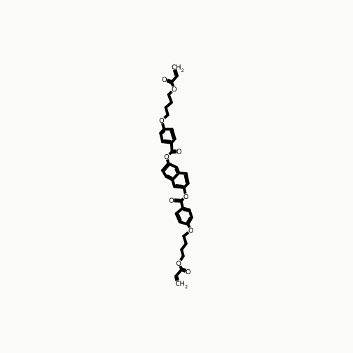 C=CC(=O)OCCCCOc1ccc(C(=O)Oc2ccc3cc(OC(=O)c4ccc(OCCCCOC(=O)C=C)cc4)ccc3c2)cc1